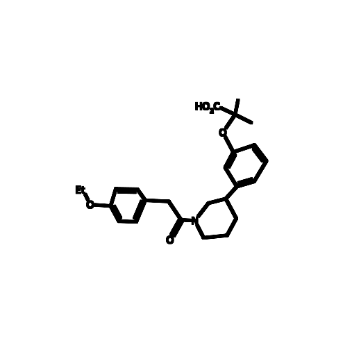 CCOc1ccc(CC(=O)N2CCCC(c3cccc(OC(C)(C)C(=O)O)c3)C2)cc1